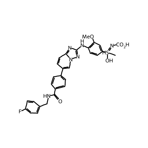 COc1cc([SH](C)(O)=NC(=O)O)ccc1Nc1nc2ccc(-c3ccc(C(=O)NCc4ccc(F)cc4)cc3)cn2n1